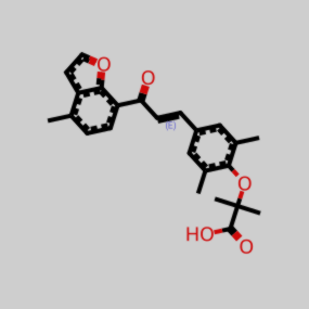 Cc1cc(/C=C/C(=O)c2ccc(C)c3ccoc23)cc(C)c1OC(C)(C)C(=O)O